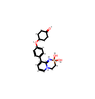 O=C1CCC(Oc2ccc(C3=CC=CN4CCS(O)(O)N=C34)cc2)CC1